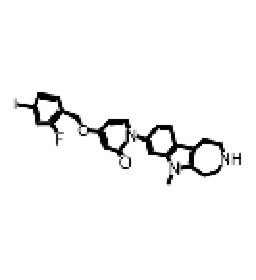 Cn1c2c(c3ccc(-n4ccc(OCc5ccc(I)cc5F)cc4=O)cc31)CCNCC2